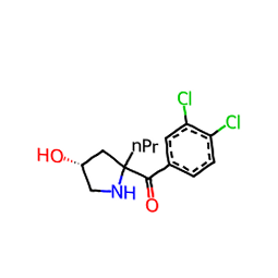 CCCC1(C(=O)c2ccc(Cl)c(Cl)c2)C[C@@H](O)CN1